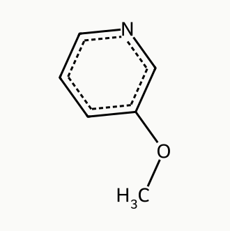 COc1cccnc1